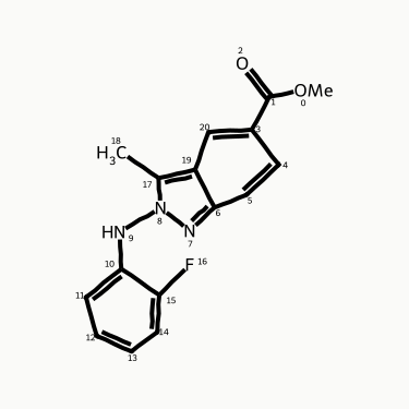 COC(=O)c1ccc2nn(Nc3ccccc3F)c(C)c2c1